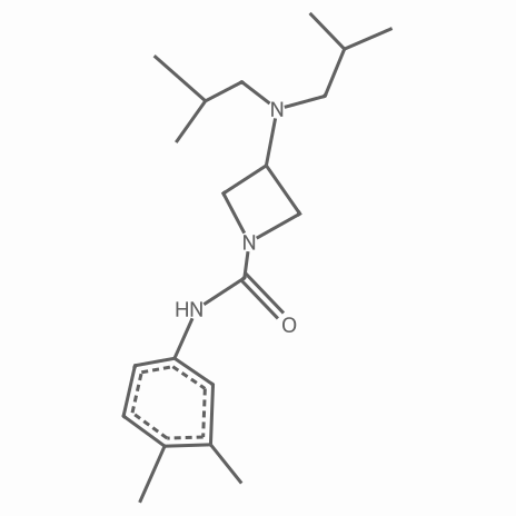 Cc1ccc(NC(=O)N2CC(N(CC(C)C)CC(C)C)C2)cc1C